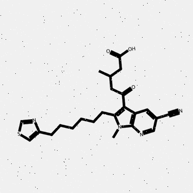 CC(CC(=O)O)CC(=O)c1c(CCCCCCc2cscn2)n(C)c2ncc(C#N)cc12